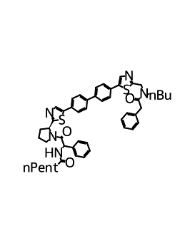 CCCCCC(=O)N[C@@H](C(=O)N1CCC[C@H]1c1ncc(-c2ccc(-c3ccc(-c4cnc(CN(CCCC)C(=O)Cc5ccccc5)s4)cc3)cc2)s1)c1ccccc1